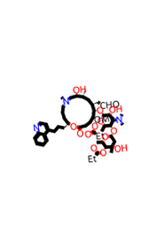 CCC(=O)O[C@@H]1CC(=O)O[C@H](CCCc2ccnc3ccccc23)CCCN(C)C[C@H](O)[C@H](C)C[C@H](CC=O)[C@H](O[C@@H]2OC(C)[C@@H](O[C@H]3CC(C)(O)[C@@H](OC(=O)CC)C(C)O3)C(N(C)C)C2O)[C@H]1OC